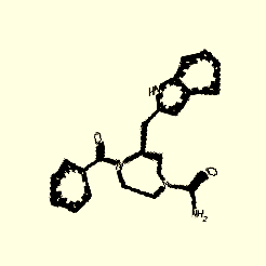 NC(=O)N1CCN(C(=O)c2ccccc2)C(Cc2cc3ccccc3[nH]2)C1